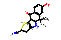 CC1(C)c2cc(O)ccc2C(=O)c2c1[nH]c1cc(C#N)sc21